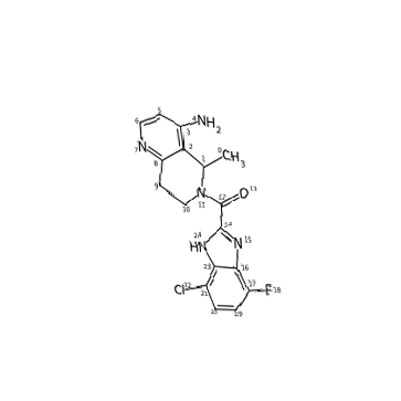 CC1c2c(N)ccnc2CCN1C(=O)c1nc2c(F)ccc(Cl)c2[nH]1